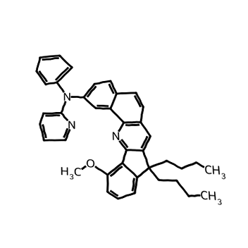 CCCCC1(CCCC)c2cc3ccc4ccc(N(c5ccccc5)c5ccccn5)cc4c3nc2-c2c(OC)cccc21